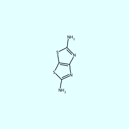 Nc1nc2nc(N)sc2s1